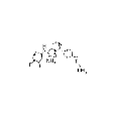 CCCOc1ccc(-c2nccc3c(Nc4ccc(F)c(F)c4)c(N)oc23)cc1